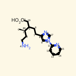 C[C@H](CCN)C(CCc1cn(-c2ccccn2)cn1)CC(=O)O